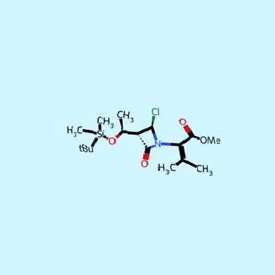 COC(=O)C(=C(C)C)N1C(=O)[C@H]([C@H](C)O[Si](C)(C)C(C)(C)C)[C@H]1Cl